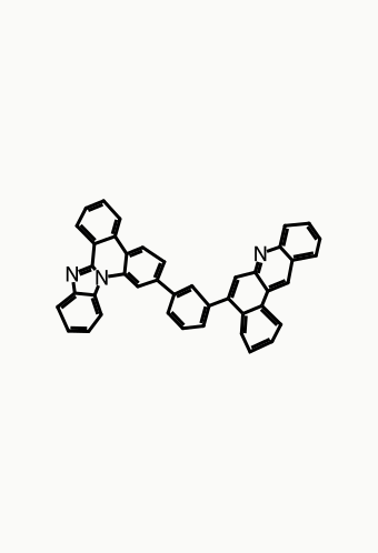 c1cc(-c2ccc3c4ccccc4c4nc5ccccc5n4c3c2)cc(-c2cc3nc4ccccc4cc3c3ccccc23)c1